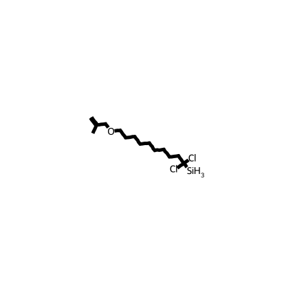 C=C(C)COCCCCCCCCCC([SiH3])(Cl)Cl